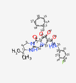 CC(C)C1CCN2C(=O)c3c(OCc4ccccc4)c(=O)c(C(=O)NCc4ccc(F)cc4)cn3CC2N1